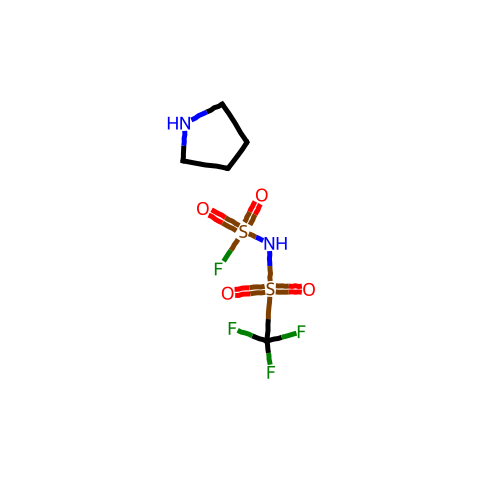 C1CCNC1.O=S(=O)(F)NS(=O)(=O)C(F)(F)F